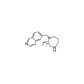 CC[C@@H]1CNCCCN1Cc1ccc2cnccc2c1